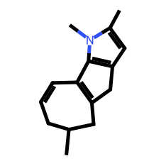 Cc1cc2c(n1C)C1=C(C2)CC(C)CC=C1